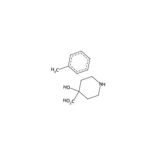 Cc1ccccc1.O=C(O)C1(O)CCNCC1